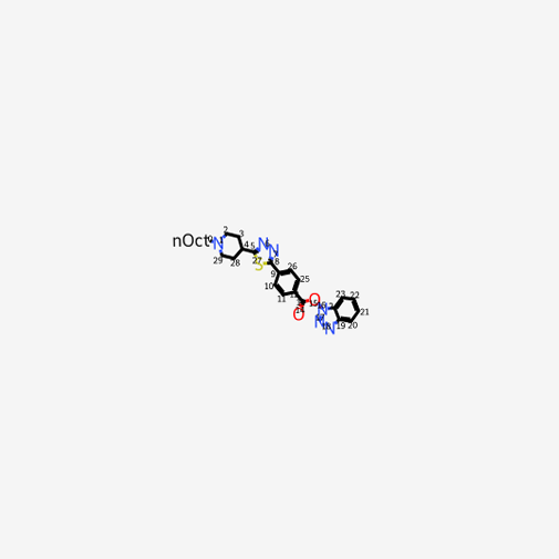 CCCCCCCCN1CCC(c2nnc(-c3ccc(C(=O)On4nnc5ccccc54)cc3)s2)CC1